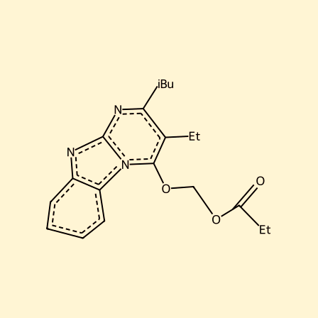 CCC(=O)OCOc1c(CC)c(C(C)CC)nc2nc3ccccc3n12